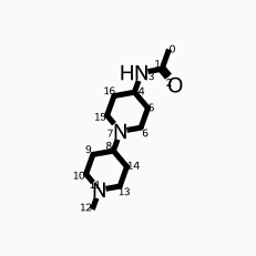 CC(=O)NC1CCN(C2CCN(C)CC2)CC1